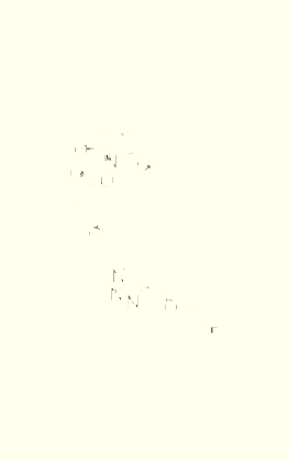 O=C(CCOCCn1cc(COCCF)nn1)ON1C(=O)CCC1=O